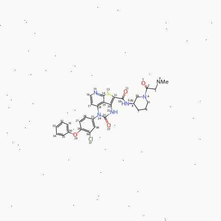 CNCC(=O)N1CCC[C@@H](NC(=O)c2sc3nccc4c3c2NC(=O)N4c2ccc(Oc3ccccc3)c(Cl)c2)C1